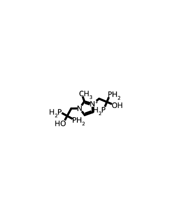 Cc1n(CC(O)(P)P)cc[n+]1CC(O)(P)P